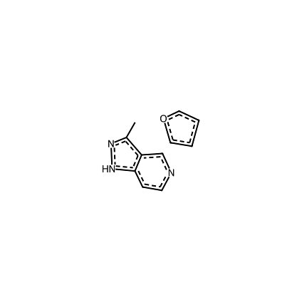 Cc1n[nH]c2ccncc12.c1ccoc1